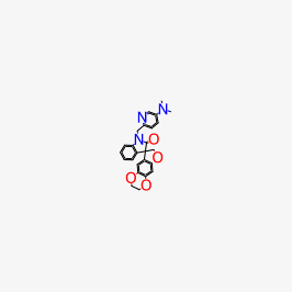 CN(C)c1ccc(CN2C(=O)C3(COc4cc5c(cc43)OCCO5)c3ccccc32)nc1